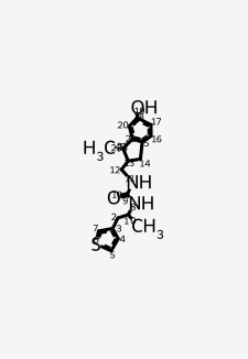 CC(Cc1ccsc1)NC(=O)NCC1Cc2ccc(O)cc2[C@H]1C